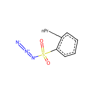 CCCc1ccccc1S(=O)(=O)N=[N+]=[N-]